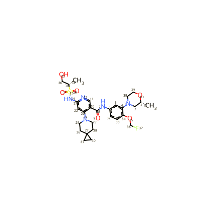 C[C@@H]1CN(c2cc(NC(=O)c3cnc(NS(=O)(=O)[C@@H](C)CO)cc3N3CCC4(CC3)CC4)ccc2OCF)CCO1